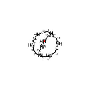 C1=[N+]2CCNCCNCCN(CCNCCNC1)CCNCCNCC2